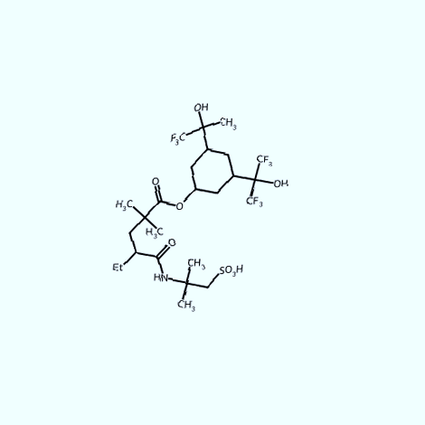 CCC(CC(C)(C)C(=O)OC1CC(C(C)(O)C(F)(F)F)CC(C(O)(C(F)(F)F)C(F)(F)F)C1)C(=O)NC(C)(C)CS(=O)(=O)O